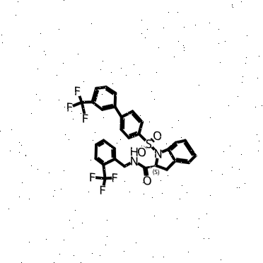 O=C(NCc1ccccc1C(F)(F)F)[C@@H]1Cc2ccccc2N1S(=O)(=O)c1ccc(-c2cccc(C(F)(F)F)c2)cc1